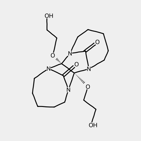 O=C1N2CCCCCN1[C@]1(OCCO)N3CCCCCN(C3=O)[C@]21OCCO